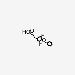 O=C(O)C=CCc1cc(F)c(OCc2ccccc2)c(F)c1